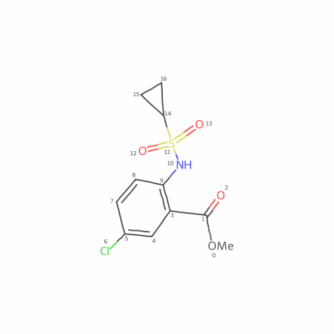 COC(=O)c1cc(Cl)ccc1NS(=O)(=O)C1CC1